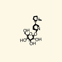 CN1CCC[C@@H]1c1ccc(O[C@@H]2O[C@H](CO)[C@H](O)[C@H](O)[C@H]2O)nc1